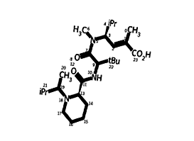 C/C(=C\[C@H](C(C)C)N(C)C(=O)C(NC(=O)[C@H]1CCCCN1C(C)C(C)C)C(C)(C)C)C(=O)O